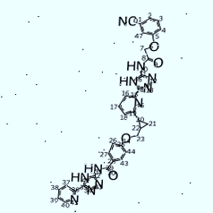 N#Cc1cccc(OCC(=O)Nc2nnc(-c3cccc(C4CC4COc4ccc(C(=O)Nc5nnc(-c6ccccn6)[nH]5)cc4)n3)[nH]2)c1